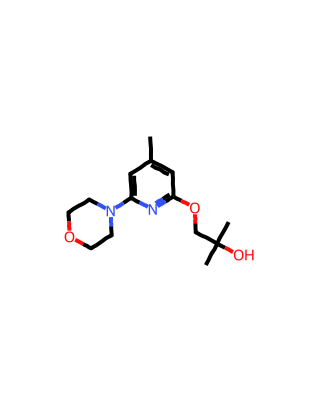 Cc1cc(OCC(C)(C)O)nc(N2CCOCC2)c1